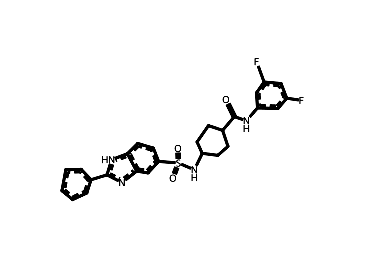 O=C(Nc1cc(F)cc(F)c1)C1CCC(NS(=O)(=O)c2ccc3[nH]c(-c4ccccc4)nc3c2)CC1